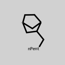 CCCCCCC1C[C]2CCC1C2